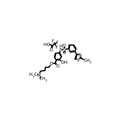 Cc1nc(-c2cccc(S(=O)(=O)Nc3ccc(C(=O)OCCCCN(C)C)c(O)c3)c2)cs1.O=C(O)C(F)(F)F